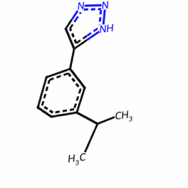 CC(C)c1cccc(-c2cnn[nH]2)c1